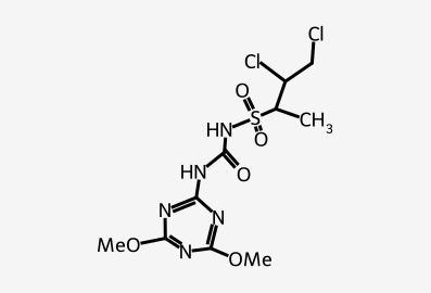 COc1nc(NC(=O)NS(=O)(=O)C(C)C(Cl)CCl)nc(OC)n1